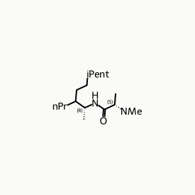 CCCC(C)CCC(CCC)[C@@H](C)NC(=O)[C@H](C)NC